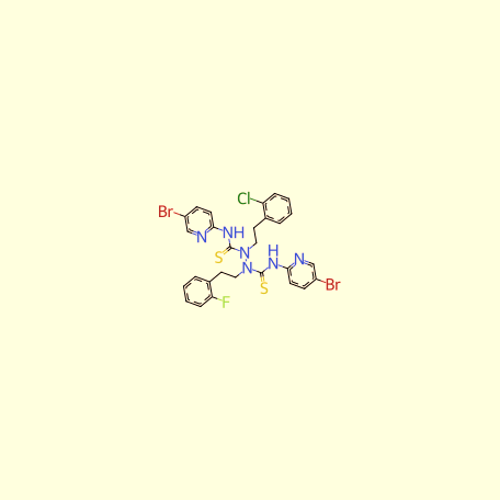 Fc1ccccc1CCN(C(=S)Nc1ccc(Br)cn1)N(CCc1ccccc1Cl)C(=S)Nc1ccc(Br)cn1